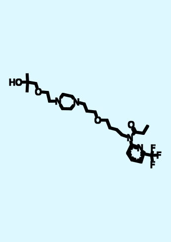 CCC(=O)N(CCCCOCCCN1CCN(CCOCC(C)(C)O)CC1)c1cccc(C(F)(F)F)n1